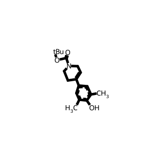 Cc1cc(C2=CCN(C(=O)OC(C)(C)C)CC2)cc(C)c1O